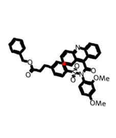 COc1ccc(N(C(=O)c2c3ccccc3nc3ccccc23)S(=O)(=O)c2ccc(CCC(=O)OCc3ccccc3)cc2)c(OC)c1